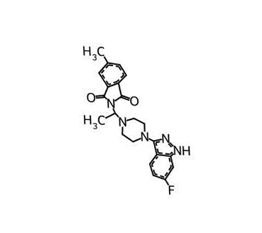 Cc1ccc2c(c1)C(=O)N(C(C)N1CCN(c3n[nH]c4cc(F)ccc34)CC1)C2=O